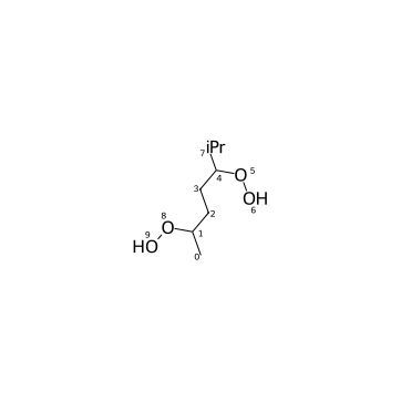 CC(CCC(OO)C(C)C)OO